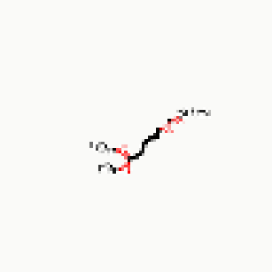 CCCCCCOCOC=CCCC(OCCC)OCCC